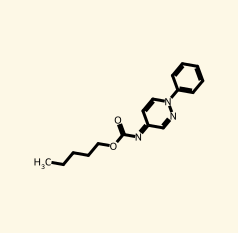 CCCCCOC(=O)N=c1ccn(-c2ccccc2)nc1